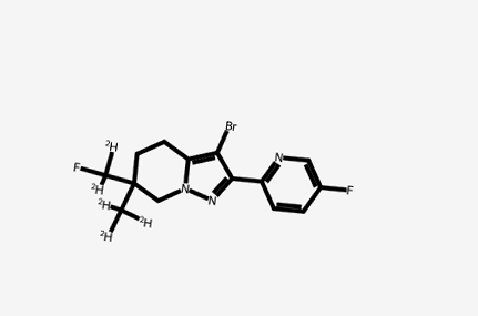 [2H]C([2H])([2H])C1(C([2H])([2H])F)CCc2c(Br)c(-c3ccc(F)cn3)nn2C1